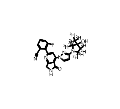 [2H]C([2H])([2H])C1(O)C([2H])([2H])N(c2ccn(-c3cc(-c4c(F)cccc4C#N)nc4c3C(=O)NC4)n2)C([2H])([2H])C1([2H])[2H]